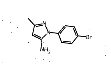 Cc1cc(N)n(-c2ccc(Br)cc2)n1